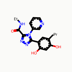 [CH2]CNC(=O)c1nnc(-c2cc(C(C)C)c(O)cc2O)n1-c1cccnc1